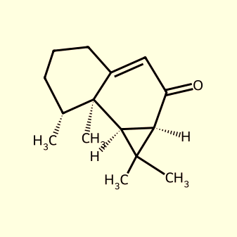 C[C@@H]1CCCC2=CC(=O)[C@@H]3[C@@H](C3(C)C)[C@]21C